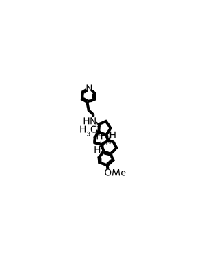 COc1ccc2c(c1)CC[C@@H]1[C@@H]2CC[C@]2(C)[C@@H](NCCc3ccncc3)CC[C@@H]12